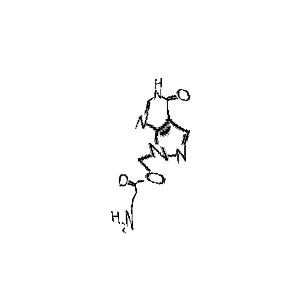 NCC(=O)OCn1ncc2c(=O)[nH]cnc21